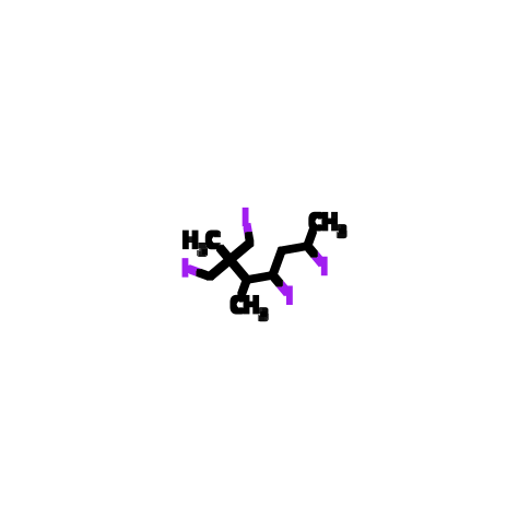 CC(I)CC(I)C(C)C(C)(CI)CI